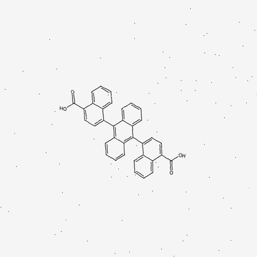 O=C(O)c1ccc(-c2c3ccccc3c(-c3ccc(C(=O)O)c4ccccc34)c3ccccc23)c2ccccc12